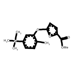 COC(=O)c1ccc(Oc2cc([Si](C)(C)C)ccc2C)o1